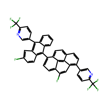 Fc1ccc2c(-c3ccc4c(F)cc5c(-c6ccc(C(F)(F)F)nc6)ccc6ccc3c4c65)c3ccccc3c(-c3ccc(C(F)(F)F)nc3)c2c1